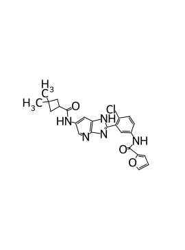 CC1(C)CC(C(=O)Nc2cnc3nc(-c4cc(NC(=O)c5ccco5)ccc4Cl)[nH]c3c2)C1